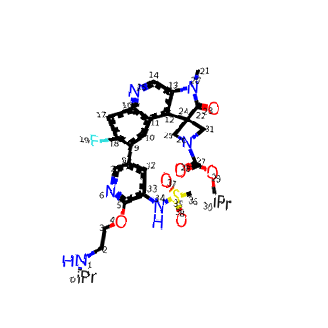 CC(C)NCCOc1ncc(-c2cc3c4c(cnc3cc2F)N(C)C(=O)C42CN(C(=O)OC(C)C)C2)cc1NS(C)(=O)=O